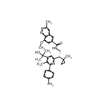 COc1cc(C(=O)NC[C@@H](c2cc(C(C)(C)O)c(C)c(-c3ccc(P)cc3)n2)C2(C)CC2)cc2cc(C)nnc12